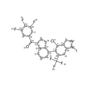 Cn1ncc2c(Cl)c(-c3cccn4c(C(=O)c5cc(F)c(F)c(F)c5)ccc34)c(C(F)(F)F)cc21